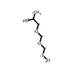 CCSCOCOCC(C)S